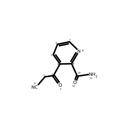 N#C[CH]C(=O)c1cccnc1C(N)=O